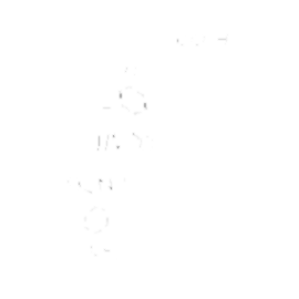 O=C(NCCNC(=O)c1ccc(O[C@H]2CC[C@@H](C(=O)O)CC2)cc1F)c1ccc(C(F)(F)F)cc1